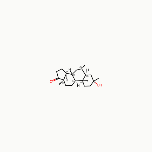 C[C@@H]1C[C@@H]2[C@H](CC[C@]3(C)C(=O)CC[C@@H]23)[C@@]2(C)CCC(C)(O)C[C@H]12